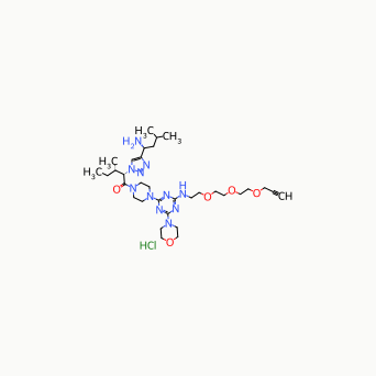 C#CCOCCOCCOCCNc1nc(N2CCOCC2)nc(N2CCN(C(=O)[C@H]([C@@H](C)CC)n3cc([C@@H](N)CC(C)C)nn3)CC2)n1.Cl